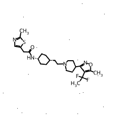 Cc1ncc(CC(=O)N[C@H]2CC[C@H](CCN3CCC(c4noc(C)c4C(C)(F)F)CC3)CC2)s1